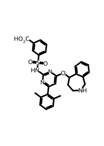 Cc1cccc(C)c1-c1cc(OC2CCNCc3ccccc32)nc(NS(=O)(=O)c2cccc(C(=O)O)c2)n1